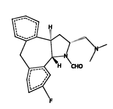 CN(C)C[C@H]1C[C@@H]2c3ccccc3Cc3ccc(F)cc3[C@H]2N1C=O